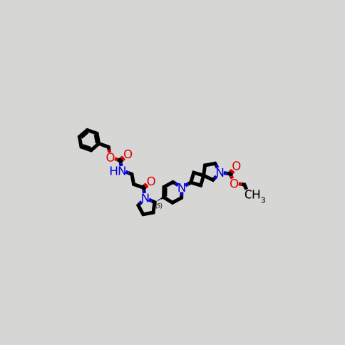 CCOC(=O)N1CCC2(CC(N3CC=C([C@@H]4CCCN4C(=O)CCNC(=O)OCc4ccccc4)CC3)C2)C1